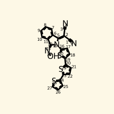 N#CC(C#N)=C1c2ccccc2/C(=N/O)N1c1ccc(-c2ccc(-c3cccs3)s2)s1